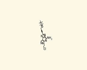 CC(C)(C)[Si](C)(C)OCC#Cc1nc2c3cnn(CCCl)c3nc(N)n2n1